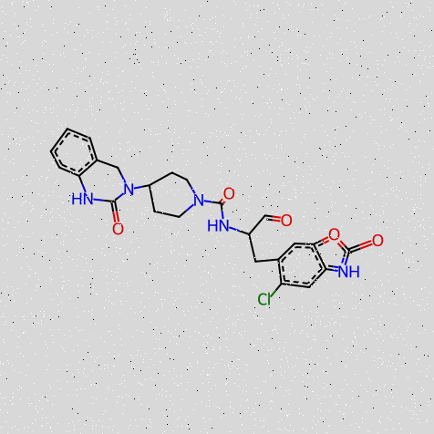 O=CC(Cc1cc2oc(=O)[nH]c2cc1Cl)NC(=O)N1CCC(N2Cc3ccccc3NC2=O)CC1